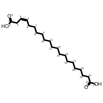 O=C(O)C/C=C\CCCCCCCCCCCCCCCCC(=O)O